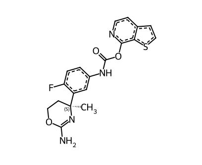 C[C@@]1(c2cc(NC(=O)Oc3nccc4ccsc34)ccc2F)CCOC(N)=N1